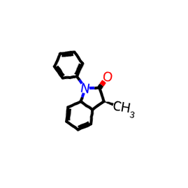 C[C@@H]1C(=O)N(c2ccccc2)C2C=CC=CC21